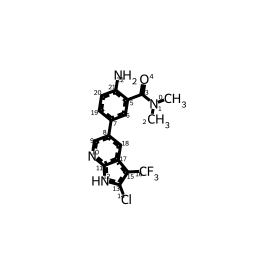 CN(C)C(=O)c1cc(-c2cnc3[nH]c(Cl)c(C(F)(F)F)c3c2)ccc1N